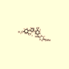 CSN1CCC(Nc2ncc(C(F)(F)F)c(-c3cn(-c4ccc(C)nc4C(F)(F)F)cn3)n2)CC1